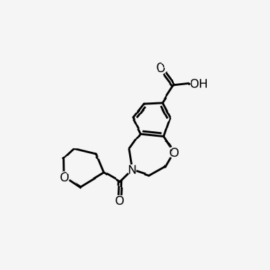 O=C(O)c1ccc2c(c1)OCCN(C(=O)C1CCCOC1)C2